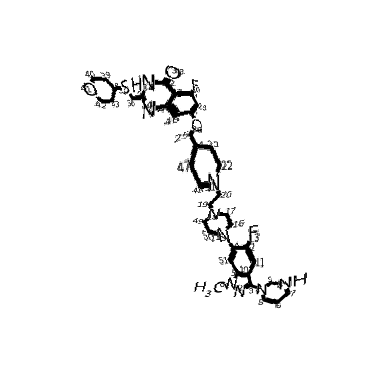 Cn1nc(N2C=CCNC2)c2cc(F)c(N3CCN(CCN4CCC(COc5cc(F)c6c(=O)[nH]c(CSC7CCOCC7)nc6c5)CC4)CC3)cc21